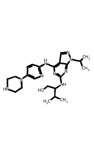 CC(C)C(CO)Nc1nc(Nc2ccc(N3CCNCC3)cn2)c2cnn(C(C)C)c2n1